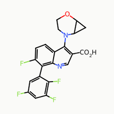 O=C(O)c1cnc2c(-c3cc(F)cc(F)c3F)c(F)ccc2c1N1CCOC2CC21